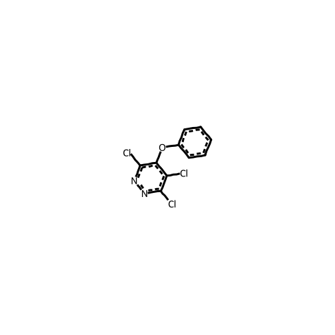 Clc1nnc(Cl)c(Oc2ccccc2)c1Cl